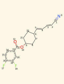 N#CC=CC=CC1CCC(OC(=O)c2ccc(F)c(F)c2)CC1